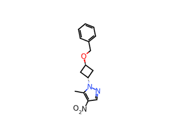 Cc1c([N+](=O)[O-])cnn1[C@H]1C[C@H](OCc2ccccc2)C1